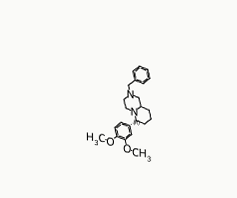 COc1ccc([C@H]2CCCC3CN(Cc4ccccc4)CCN32)cc1OC